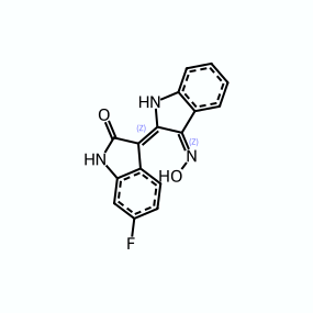 O=C1Nc2cc(F)ccc2/C1=C1/Nc2ccccc2/C1=N/O